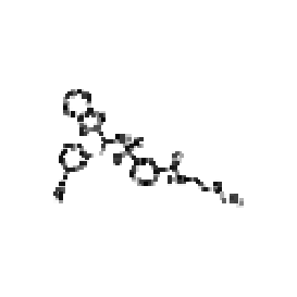 COCCNC(=O)c1cccc(S(=O)(=O)NC(Cc2cccc(C#N)c2)c2nc3ccccc3s2)c1